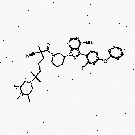 C[C@@H]1CN(C(C)(C)CCCC(C)(C#N)C(=O)N2CCC[C@@H](n3nc(-c4ccc(Oc5ccccc5)cc4F)c4c(N)ncnc43)C2)C[C@H](C)N1C